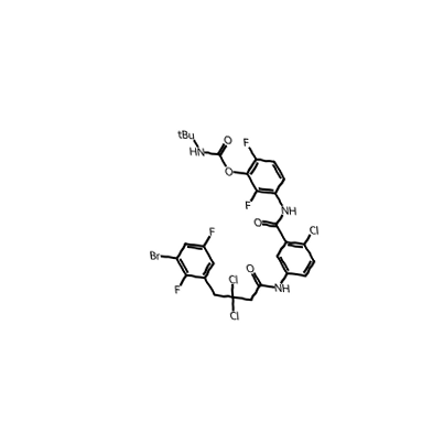 CC(C)(C)NC(=O)Oc1c(F)ccc(NC(=O)c2cc(NC(=O)CC(Cl)(Cl)Cc3cc(F)cc(Br)c3F)ccc2Cl)c1F